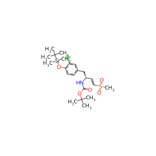 CC(C)(C)OC(=O)N[C@H](/C=C/S(C)(=O)=O)Cc1ccc(O[Si](C)(C)C(C)(C)C)c(Br)c1